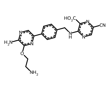 N#Cc1cnc(NCc2ccc(-c3cnc(N)c(OCCN)n3)cc2)c(C(=O)O)n1